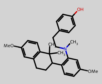 COc1ccc2c(c1)CCC(c1ccc(OC)cc1N(C)CCc1ccc(O)cc1)C2(C)C